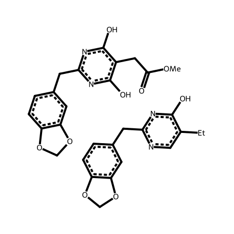 CCc1cnc(Cc2ccc3c(c2)OCO3)nc1O.COC(=O)Cc1c(O)nc(Cc2ccc3c(c2)OCO3)nc1O